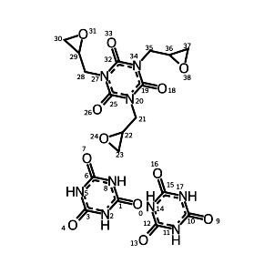 O=c1[nH]c(=O)[nH]c(=O)[nH]1.O=c1[nH]c(=O)[nH]c(=O)[nH]1.O=c1n(CC2CO2)c(=O)n(CC2CO2)c(=O)n1CC1CO1